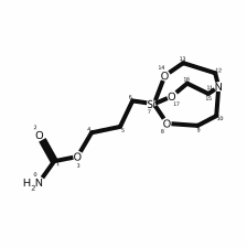 NC(=O)OCCC[Si]12OCCN(CCO1)CCO2